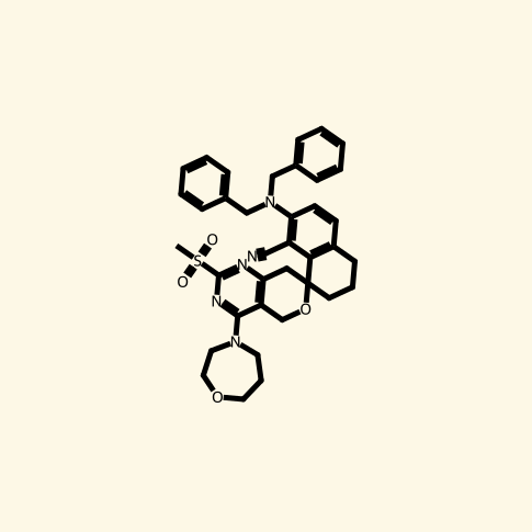 CS(=O)(=O)c1nc2c(c(N3CCCOCC3)n1)COC1(CCCc3ccc(N(Cc4ccccc4)Cc4ccccc4)c(C#N)c31)C2